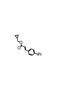 CC(C)c1ccc(/C=C/C(=O)OCC2CC2)cc1